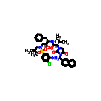 CC(C)CN(C[C@H](O)[C@H](Cc1ccccc1)NC(=O)[C@H](C(C)C)N1CC(=O)N(Cc2ccc3ccccc3c2)C1=O)S(=O)(=O)c1ccc(Cl)c(N)c1